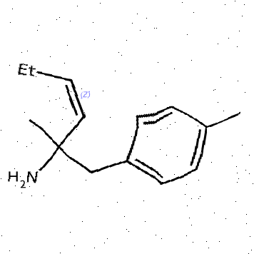 CC/C=C\C(C)(N)Cc1ccc(C)cc1